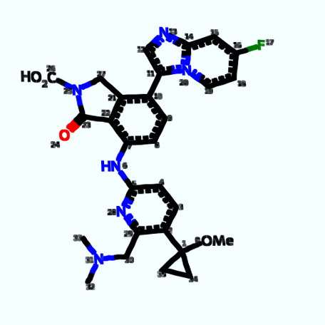 COC1(c2ccc(Nc3ccc(-c4cnc5cc(F)ccn45)c4c3C(=O)N(C(=O)O)C4)nc2CN(C)C)CC1